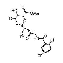 COC(=O)[C@@H]1OB([C@H](CC(C)C)NC(=O)CNC(=O)c2cc(Cl)ccc2Cl)OC(=O)[C@H]1O